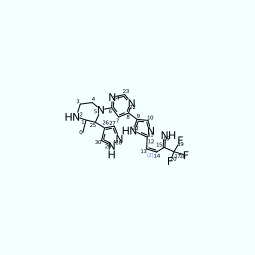 CC1NCCN(c2cc(-c3cnc(/C=C\C(=N)C(F)(F)F)[nH]3)ncn2)C1c1cn[nH]c1